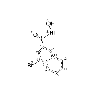 O=C(NO)c1cc(Br)c2ccccc2c1